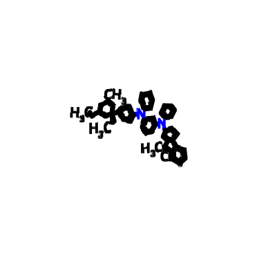 CCC1=CC(C)CC(CC)(c2ccc(N(c3ccccc3)c3cccc(N(c4ccccc4)c4ccc5c(c4)C(C)(C)c4ccccc4-5)c3)cc2)C1